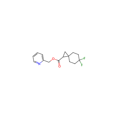 O=C(OCc1ccccn1)C1CC12CCC(F)(F)CC2